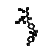 CC(C)(C)OC(=O)N=C(NCc1ccc(NS(=O)(=O)c2ccc(Cl)cc2)cc1)NC(=O)OC(C)(C)C